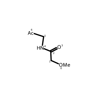 COCC(=O)NCC(C)=O